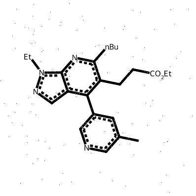 CCCCc1nc2c(cnn2CC)c(-c2cncc(C)c2)c1CCC(=O)OCC